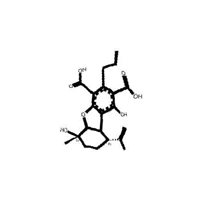 C=C(C)[C@@H]1CC[C@](C)(O)C2Oc3c(C(=O)O)c(CCC)c(C(=O)O)c(O)c3C21